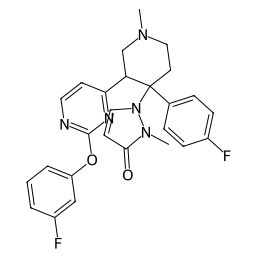 CN1CCC(c2ccc(F)cc2)(n2ccc(=O)n2C)C(c2ccnc(Oc3cccc(F)c3)n2)C1